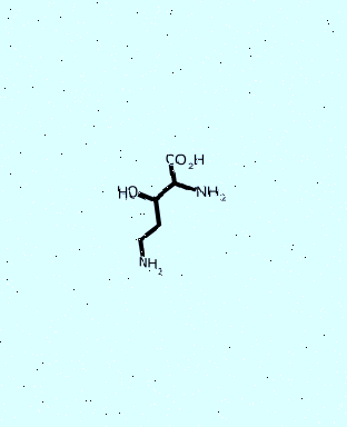 NCCC(O)C(N)C(=O)O